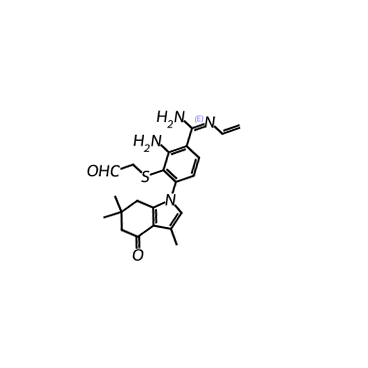 C=C/N=C(/N)c1ccc(-n2cc(C)c3c2CC(C)(C)CC3=O)c(SCC=O)c1N